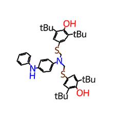 CC(C)(C)c1cc(SCN(CSc2cc(C(C)(C)C)c(O)c(C(C)(C)C)c2)c2ccc(Nc3ccccc3)cc2)cc(C(C)(C)C)c1O